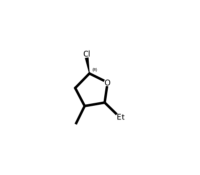 CCC1O[C@H](Cl)CC1C